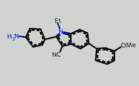 CCn1c(-c2ccc(N)cc2)c(C#N)c2cc(-c3cccc(OC)c3)ccc21